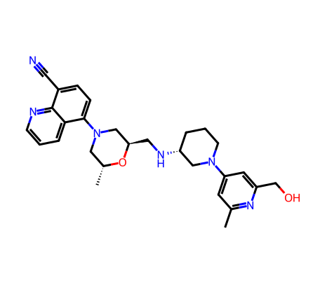 Cc1cc(N2CCC[C@@H](NC[C@@H]3CN(c4ccc(C#N)c5ncccc45)C[C@@H](C)O3)C2)cc(CO)n1